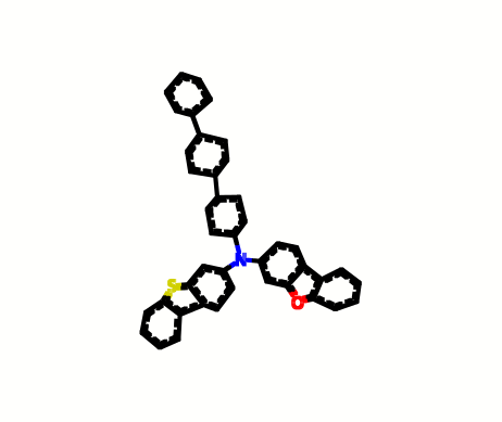 c1ccc(-c2ccc(-c3ccc(N(c4ccc5c(c4)oc4ccccc45)c4ccc5c(c4)sc4ccccc45)cc3)cc2)cc1